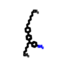 CCCCCCCCC1CCC(c2ccc(C(CCCCCC)c3ccc(N)cc3)cc2)CC1